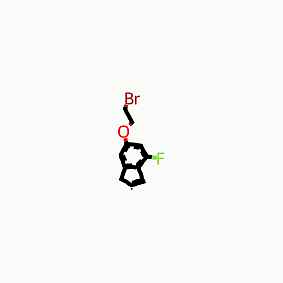 Fc1cc(OCCBr)cc2c1C=[C]C2